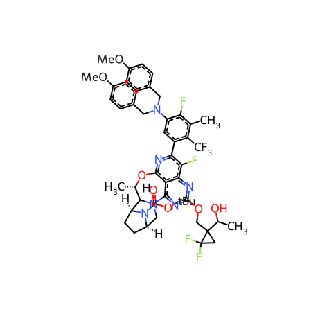 COc1ccc(CN(Cc2ccc(OC)cc2)c2cc(-c3nc4c5c(nc(OCC6(C(C)O)CC6(F)F)nc5c3F)N3C[C@H]5CC[C@@H]([C@H]3[C@H](C)O4)N5C(=O)OC(C)(C)C)c(C(F)(F)F)c(C)c2F)cc1